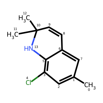 Cc1cc(Cl)c2c(c1)C=CC(C)(C)N2